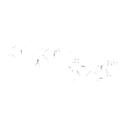 Nc1nccc(-c2cc(F)c3[nH]c(C4COc5ccc(C(=O)CCc6ccccc6)cc5C4)nc3c2)n1